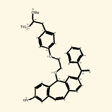 CCCc1ccc2c(c1)C=Cc1ccc(C(C)c3ccccc3)cc1C2OCCOc1ccc(CC(OC)C(=O)OCC)cc1